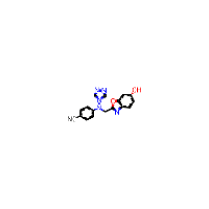 N#Cc1ccc(N(Cc2nc3ccc(O)cc3o2)n2cnnc2)cc1